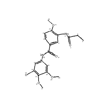 CCC(=O)Nc1cc(C(=O)Nc2cc(Cl)c(OC)c(OC)c2)ccc1OC